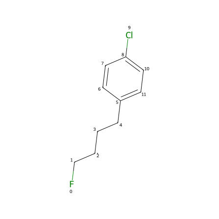 FC[CH]CCc1ccc(Cl)cc1